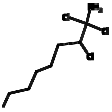 CCCCCCC(Cl)C(N)(Cl)Cl